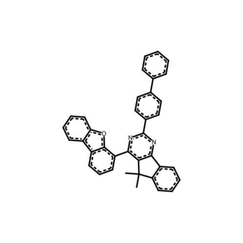 CC1(C)c2ccccc2-c2nc(-c3ccc(-c4ccccc4)cc3)nc(-c3cccc4c3oc3ccccc34)c21